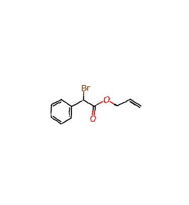 C=CCOC(=O)C(Br)c1ccccc1